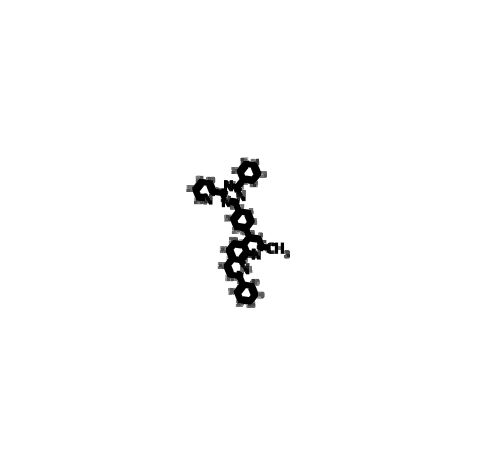 Cc1cc(-c2ccc(-c3nc(-c4ccccc4)nc(-c4ccccn4)n3)cc2)c2ccc3ccc(-c4ccccc4)nc3c2n1